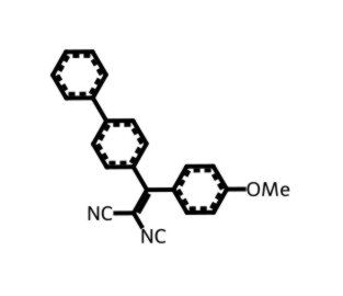 [C-]#[N+]/C(C#N)=C(\c1ccc(OC)cc1)c1ccc(-c2ccccc2)cc1